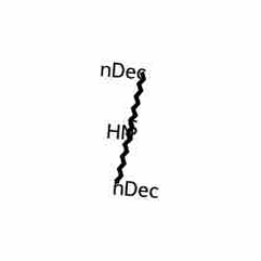 CCCCCCCCCCCCCCCCCCNSCCCCCCCCCCCCCCCCCC